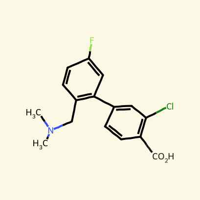 CN(C)Cc1ccc(F)cc1-c1ccc(C(=O)O)c(Cl)c1